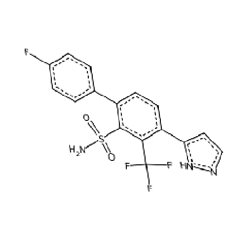 NS(=O)(=O)c1c(-c2ccc(F)cc2)ccc(-c2ccn[nH]2)c1C(F)(F)F